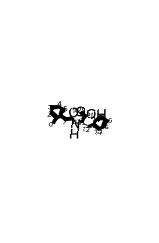 Cc1ccccc1CC(=O)N[C@@H](Cc1ccccc1)C(=O)O